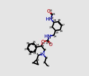 CCCN(CC1CC1)CC(OC(=O)NCC1CC=CC(NC=O)C1)c1ccccc1